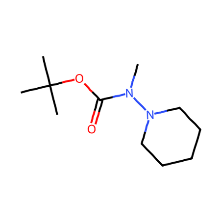 CN(C(=O)OC(C)(C)C)N1CCCCC1